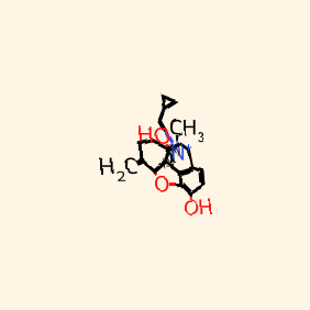 C=C1CCC2(O)C3Cc4ccc(O)c5c4[C@@]2(CC[N@+]3(C)CC2CC2)C1O5